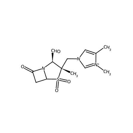 Cc1cn(C[C@@]2(C)[C@H](C=O)N3C(=O)CC3S2(=O)=O)c[n+]1C